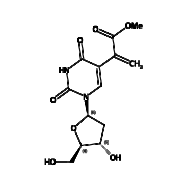 C=C(C(=O)OC)c1cn([C@H]2C[C@H](O)[C@@H](CO)O2)c(=O)[nH]c1=O